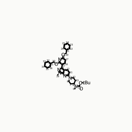 CN(C(=O)OC(C)(C)C)C1CCN(c2ccc3c(-c4ccc(OCc5ccccc5)nc4OCc4ccccc4)nn(C)c3n2)CC1